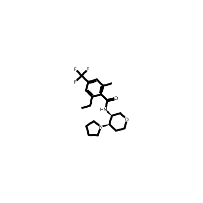 CCc1cc(C(F)(F)F)cc(C)c1C(=O)N[C@H]1COCC[C@H]1N1CCCC1